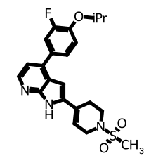 CC(C)Oc1ccc(-c2ccnc3[nH]c(C4=CCN(S(C)(=O)=O)CC4)cc23)cc1F